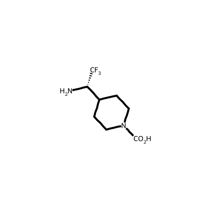 N[C@@H](C1CCN(C(=O)O)CC1)C(F)(F)F